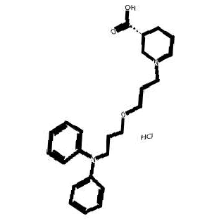 Cl.O=C(O)[C@@H]1CCCN(CCCOCCCN(c2ccccc2)c2ccccc2)C1